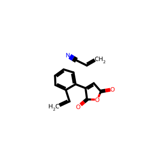 C=CC#N.C=Cc1ccccc1C1=CC(=O)OC1=O